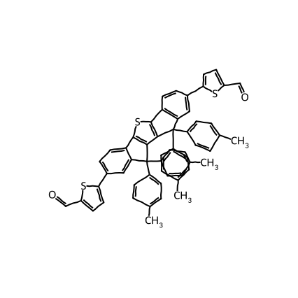 Cc1ccc(C2(c3ccc(C)cc3)c3cc(-c4ccc(C=O)s4)ccc3-c3sc4c(c32)C(c2ccc(C)cc2)(c2ccc(C)cc2)c2cc(-c3ccc(C=O)s3)ccc2-4)cc1